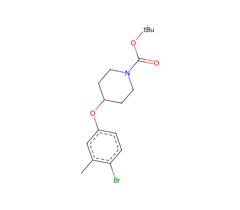 Cc1cc(OC2CCN(C(=O)OC(C)(C)C)CC2)ccc1Br